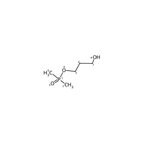 CP(C)(=O)OCCCO